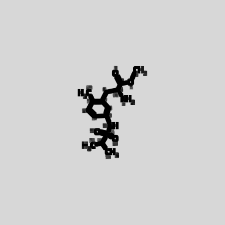 COC(=O)[C@@H](N)Cc1cc(NS(=O)(=O)C(C)C)ccc1C